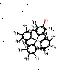 [2H]c1c([2H])c([2H])c([Si](c2c([2H])c([2H])c([2H])c([2H])c2[2H])(c2c([2H])c([2H])c([2H])c([2H])c2[2H])c2c([2H])c([2H])c(Br)c([2H])c2[2H])c([2H])c1[2H]